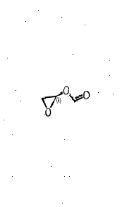 O=CO[C@@H]1CO1